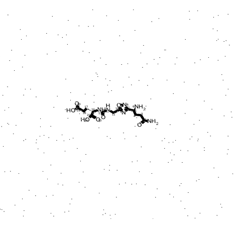 NC(=O)CC[C@H](N)c1noc(CNC(=O)N[C@@H](CCC(=O)O)C(=O)O)n1